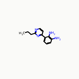 CCCc1nccc(-c2cccc(N)c2N)n1